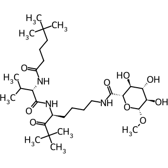 CO[C@@H]1O[C@H](C(=O)NCCCC[C@H](NC(=O)[C@@H](NC(=O)CCCC(C)(C)C)C(C)C)C(=O)C(C)(C)C)[C@@H](O)[C@H](O)[C@H]1O